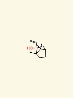 C=CC1(O)CC2CCC1(C)C2(C)C